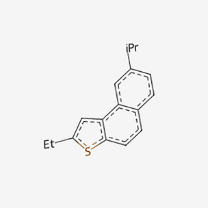 CCc1cc2c(ccc3ccc(C(C)C)cc32)s1